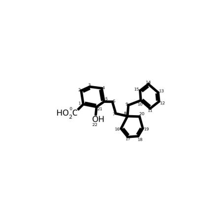 O=C(O)c1cccc(CCC2(Cc3ccccc3)C=CC=CC2)c1O